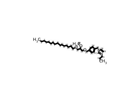 CCCCCCCCCCCCCCCCOCC(COCc1ccc(CN2C=CN(CCC)C2)cc1)OC